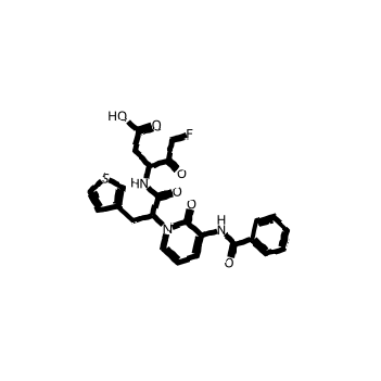 O=C(O)CC(NC(=O)C(Cc1ccsc1)n1cccc(NC(=O)c2ccccc2)c1=O)C(=O)CF